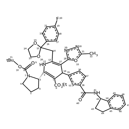 CCOC(=O)C1=C([C@@H]2CCCN2C(=O)OC(C)(C)C)NC(CC2(c3ccc(F)cc3)OCCO2)=C(c2nnc(C)o2)C1c1ccc(C(=O)NC2CCc3ccccc32)s1